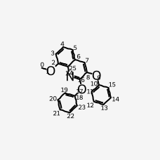 COc1cccc2cc(Oc3ccccc3)c(Oc3ccccc3)nc12